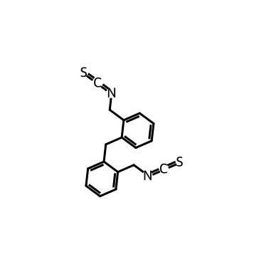 S=C=NCc1ccccc1Cc1ccccc1CN=C=S